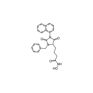 O=C(CCCC1C(=O)N(c2cccc3ccccc23)C(=O)N1Cc1ccccc1)NO